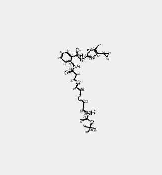 Cc1sc(NC(=O)c2ccccc2NC(=O)CCOCCOCCNC(=O)OC(C)(C)C)nc1C1CC1